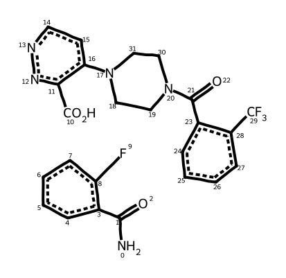 NC(=O)c1ccccc1F.O=C(O)c1nnccc1N1CCN(C(=O)c2ccccc2C(F)(F)F)CC1